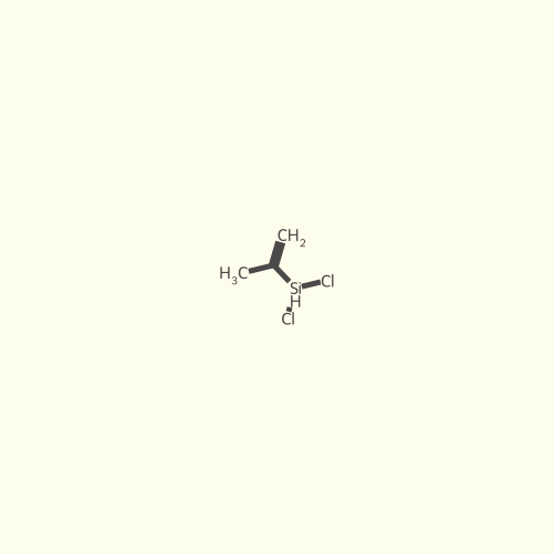 C=C(C)[SiH](Cl)Cl